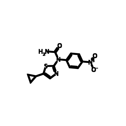 NC(=O)N(c1ccc([N+](=O)[O-])cc1)c1ncc(C2CC2)s1